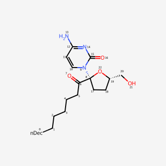 CCCCCCCCCCCCCCCC(=O)[C@]1(n2ccc(N)nc2=O)CC[C@@H](CO)O1